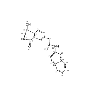 O=C(Cc1ccc2c(c1)C(=O)NOB2O)Nc1ccc2cnccc2c1